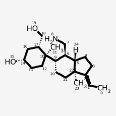 C/C=C1\CC[C@H]2[C@H](CN)[C@@H]([C@@]3(C)CC[C@H](O)C[C@@H]3CO)CC[C@]12C